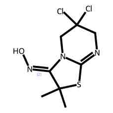 CC1(C)SC2=NCC(Cl)(Cl)CN2/C1=N\O